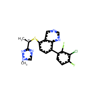 C[C@@H](Sc1ccc(-c2ccc(F)c(Cl)c2F)c2ncncc12)c1ncn(C)n1